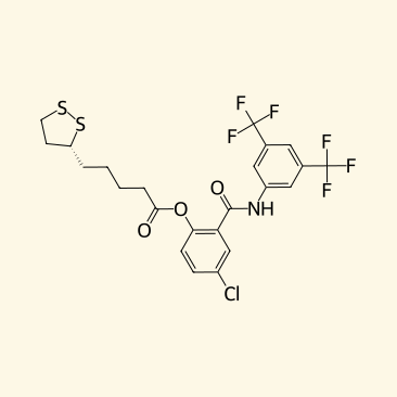 O=C(CCCC[C@@H]1CCSS1)Oc1ccc(Cl)cc1C(=O)Nc1cc(C(F)(F)F)cc(C(F)(F)F)c1